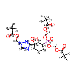 CC(C)(C)C(=O)OCOP(=O)(OCOC(=O)C(C)(C)C)C1CCCC(O)(c2ncn(COC(=O)C(C)(C)C)n2)C1